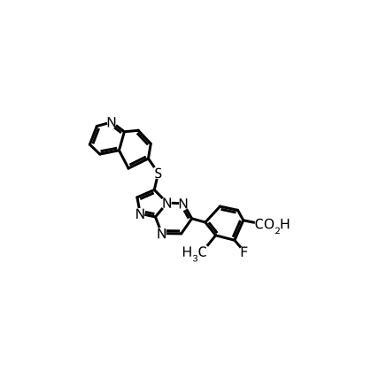 Cc1c(-c2cnc3ncc(Sc4ccc5ncccc5c4)n3n2)ccc(C(=O)O)c1F